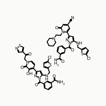 N#Cc1cc(-c2cc(NCc3ccc(Cl)s3)n(C(=O)c3cccc(C(N)=O)c3)n2)n(CCN2CCCCC2)c(=O)c1.NC(=O)c1cccc(C(=O)n2nc(-c3ccn(CC(=O)c4cnsc4)c(=O)c3O)cc2NCc2ccc(Cl)s2)c1